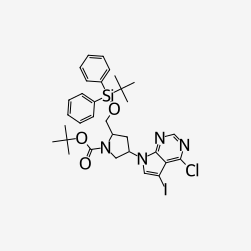 CC(C)(C)OC(=O)N1CC(n2cc(I)c3c(Cl)ncnc32)CC1CO[Si](c1ccccc1)(c1ccccc1)C(C)(C)C